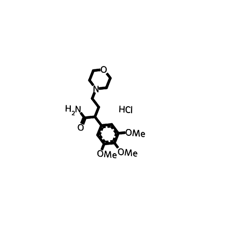 COc1cc(C(CCN2CCOCC2)C(N)=O)cc(OC)c1OC.Cl